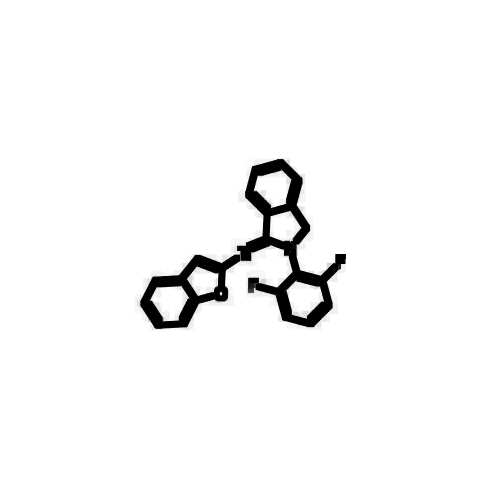 Fc1cccc(F)c1N1Cc2ccccc2[C]1=[Ti][c]1cc2ccccc2o1